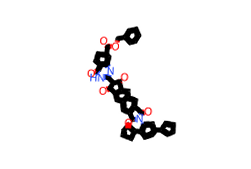 O=C(OCc1ccccc1)c1ccc2c(=O)[nH]c(C3C(=O)c4cc5cc6c(cc5cc4C3=O)C(=O)N(c3cc(C4=CCC=C4)ccc3C3=CC=CC3)C6=O)nc2c1